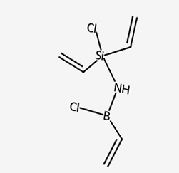 C=CB(Cl)N[Si](Cl)(C=C)C=C